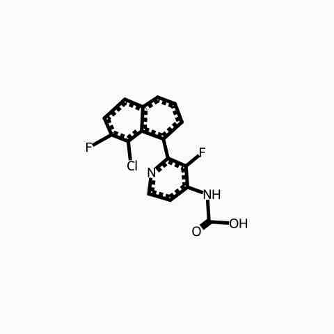 O=C(O)Nc1ccnc(-c2cccc3ccc(F)c(Cl)c23)c1F